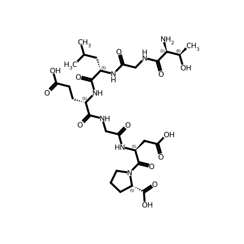 CC(C)C[C@H](NC(=O)CNC(=O)[C@@H](N)[C@@H](C)O)C(=O)N[C@@H](CCC(=O)O)C(=O)NCC(=O)N[C@@H](CC(=O)O)C(=O)N1CCC[C@H]1C(=O)O